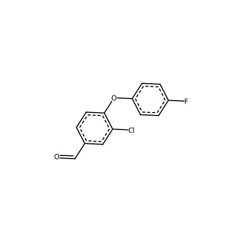 O=Cc1ccc(Oc2ccc(F)cc2)c(Cl)c1